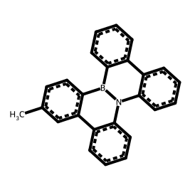 Cc1ccc2c(c1)-c1ccccc1N1B2c2ccccc2-c2ccccc21